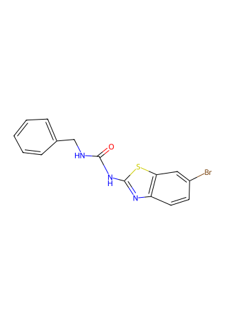 O=C(NCc1ccccc1)Nc1nc2ccc(Br)cc2s1